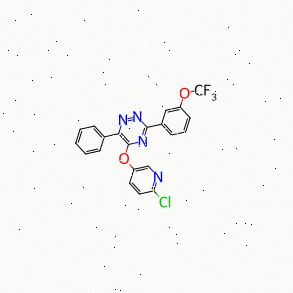 FC(F)(F)Oc1cccc(-c2nnc(-c3ccccc3)c(Oc3ccc(Cl)nc3)n2)c1